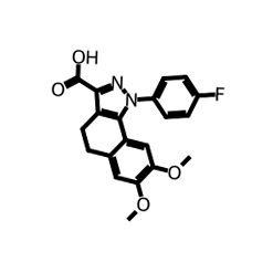 COc1cc2c(cc1OC)-c1c(c(C(=O)O)nn1-c1ccc(F)cc1)CC2